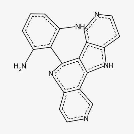 Nc1cccc(N)c1-c1nc2ccncc2c2[nH]c3ccncc3c12